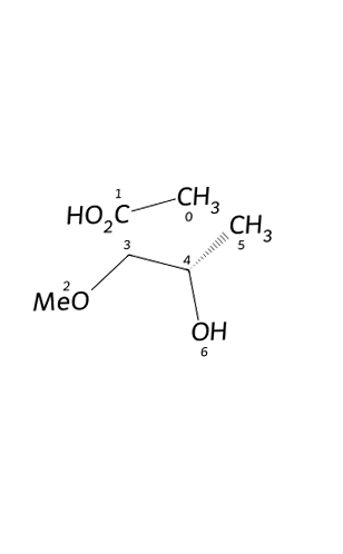 CC(=O)O.COC[C@H](C)O